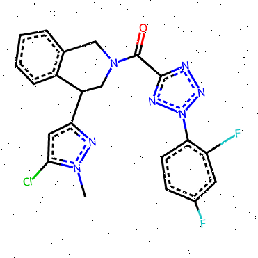 Cn1nc(C2CN(C(=O)c3nnn(-c4ccc(F)cc4F)n3)Cc3ccccc32)cc1Cl